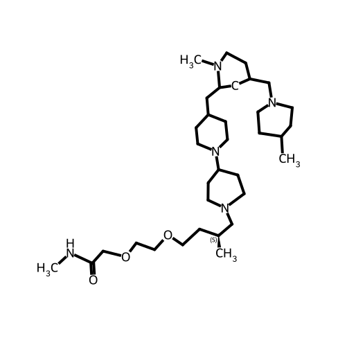 CNC(=O)COCCOCC[C@H](C)CN1CCC(N2CCC(CC3CC(CN4CCC(C)CC4)CCN3C)CC2)CC1